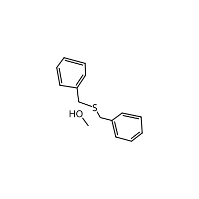 CO.c1ccc(CSCc2ccccc2)cc1